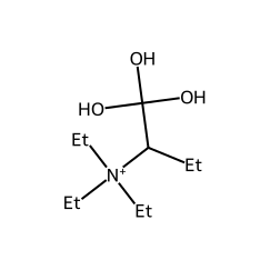 CCC(C(O)(O)O)[N+](CC)(CC)CC